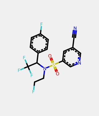 N#Cc1cncc(S(=O)(=O)N(CCF)C(c2ccc(F)cc2)C(F)(F)F)c1